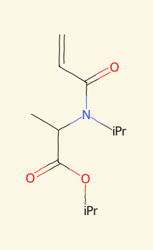 C=CC(=O)N(C(C)C)C(C)C(=O)OC(C)C